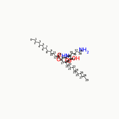 CCCCCCCCCCCCCC(=O)OC(CCCCCCCCCCCCC)CC(=O)N[C@@H](CCCCN)C(=O)O